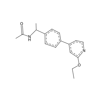 CCOc1cc(-c2ccc(C(C)NC(C)=O)cc2)ccn1